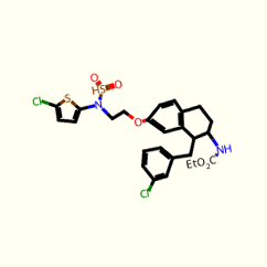 CCOC(=O)NC1CCc2ccc(OCCN(c3ccc(Cl)s3)[SH](=O)=O)cc2C1Cc1cccc(Cl)c1